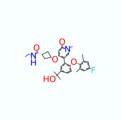 CCNC(=O)[C@H]1C[C@@H](Oc2cc(=O)n(C)cc2-c2cc(C(C)(C)O)ccc2Oc2c(C)cc(F)cc2C)C1